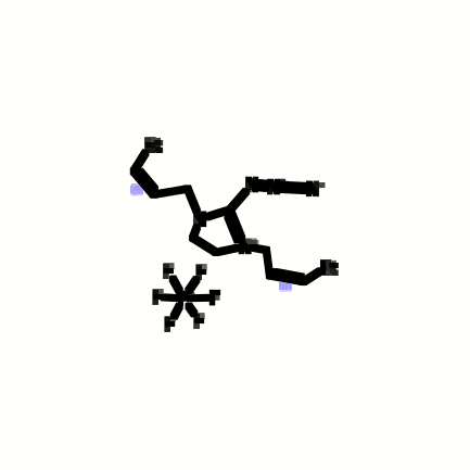 CC/C=C\CN1CC[N+](C/C=C\CC)=C1N=[N+]=[N-].F[P-](F)(F)(F)(F)F